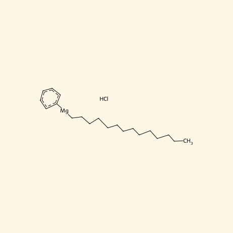 CCCCCCCCCCCCC[CH2][Mg][c]1ccccc1.Cl